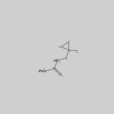 CCCC(C)C(=O)NCC1(C)CC1